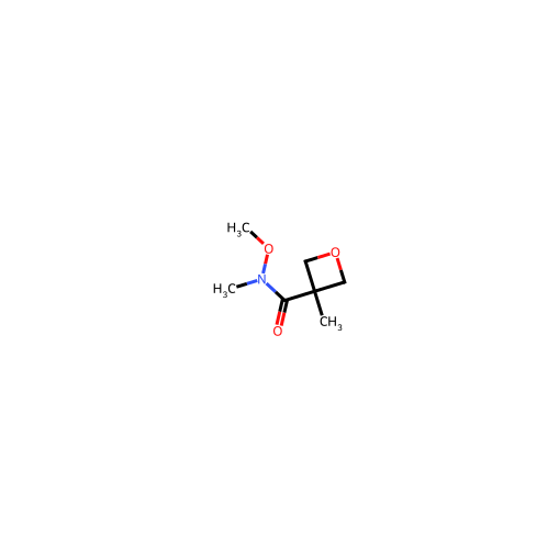 CON(C)C(=O)C1(C)COC1